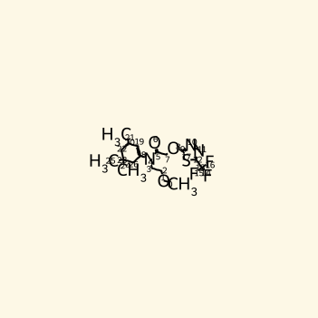 COCCN(C(=O)COc1nnc(C(F)(F)F)s1)C1=CC(C)CC(C)(C)C1